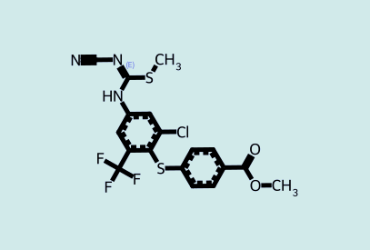 COC(=O)c1ccc(Sc2c(Cl)cc(N/C(=N\C#N)SC)cc2C(F)(F)F)cc1